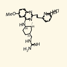 COc1ccc2nc(C=Cc3ccccn3)nc(N[C@@H]3CC[C@H](CNC(=N)N)C[C@H]3C)c2c1.Cl.Cl.Cl